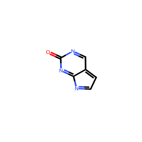 O=C1N=CC2=CC=NC2=N1